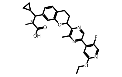 CCOc1cc(-c2cnc(C3CCc4ccc(C(C5CC5)[C@H](C)C(=O)O)cc4O3)c(C)n2)c(F)cn1